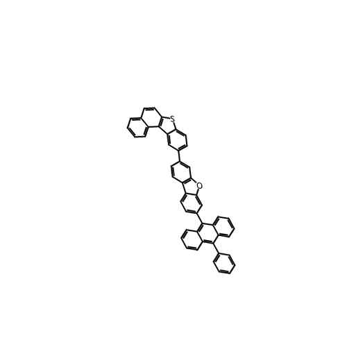 c1ccc(-c2c3ccccc3c(-c3ccc4c(c3)oc3cc(-c5ccc6sc7ccc8ccccc8c7c6c5)ccc34)c3ccccc23)cc1